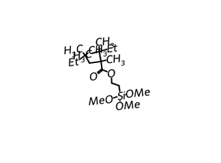 CCC(C)(C)CC(C)(C(=O)OCC[Si](OC)(OC)OC)C(C)(C)CC